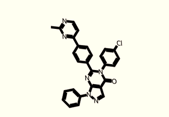 Cc1nccc(-c2ccc(-c3nc4c(cnn4-c4ccccc4)c(=O)n3-c3ccc(Cl)cc3)cc2)n1